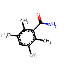 Cc1cc(C)c(C)c(C(N)=O)c1C